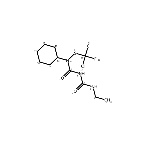 CCNC(=O)NC(=O)N(SC(F)(Cl)Cl)C1CCCCC1